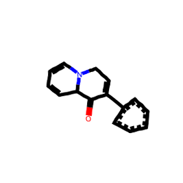 O=C1C(c2ccccc2)=CCN2C=CC=CC12